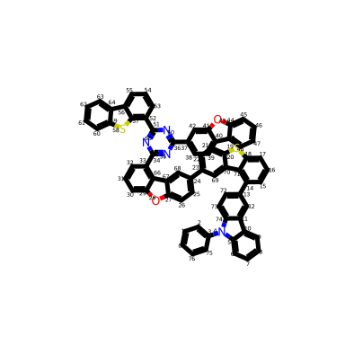 c1ccc(-n2c3ccccc3c3cc(-c4cccc5sc6ccc(-c7ccc8oc9cccc(-c%10nc(-c%11ccc%12c(c%11)oc%11ccccc%11%12)nc(-c%11cccc%12c%11sc%11ccccc%11%12)n%10)c9c8c7)cc6c45)ccc32)cc1